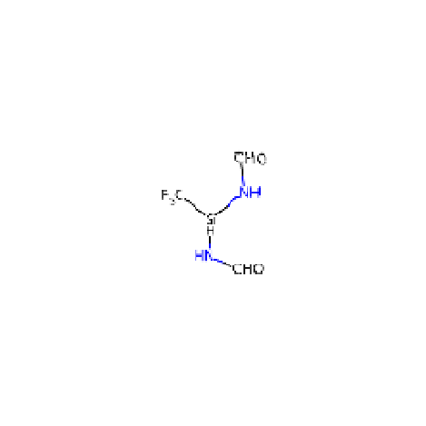 O=CN[SiH](NC=O)C(F)(F)F